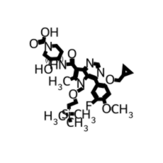 COc1cc(OCC2CC2)c(-c2ncnc3c(C(=O)N[C@@H]4CCN(C(=O)O)C[C@H]4O)c(C)n(COCC[Si](C)(C)C)c23)cc1F